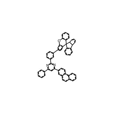 C1=CC2c3ccccc3C3(c4ccccc4Oc4cc(-c5cccc(-c6nc(-c7ccccc7)cc(-c7ccc8c(ccc9ccccc98)c7)n6)c5)ccc43)C2C=C1